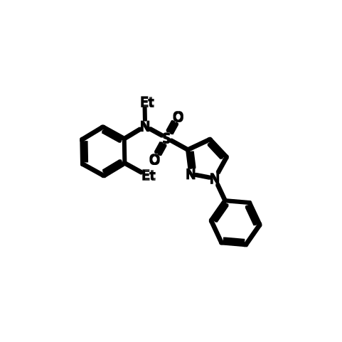 CCc1ccccc1N(CC)S(=O)(=O)c1ccn(-c2ccccc2)n1